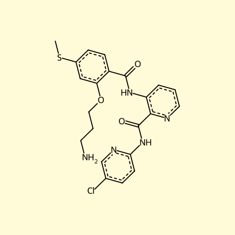 CSc1ccc(C(=O)Nc2cccnc2C(=O)Nc2ccc(Cl)cn2)c(OCCCN)c1